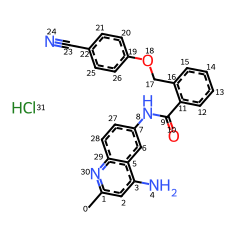 Cc1cc(N)c2cc(NC(=O)c3ccccc3COc3ccc(C#N)cc3)ccc2n1.Cl